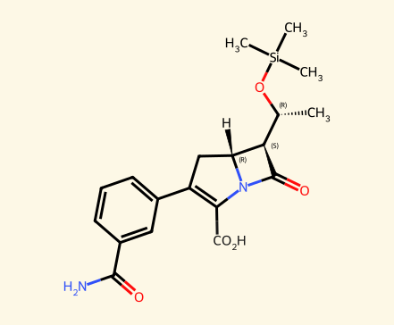 C[C@@H](O[Si](C)(C)C)[C@H]1C(=O)N2C(C(=O)O)=C(c3cccc(C(N)=O)c3)C[C@H]12